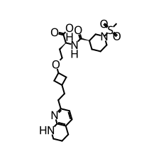 CS(=O)(=O)N1CCC[C@@H](C(=O)N[C@@H](CCOC2CC(CCc3ccc4c(n3)NCCC4)C2)C(=O)O)C1